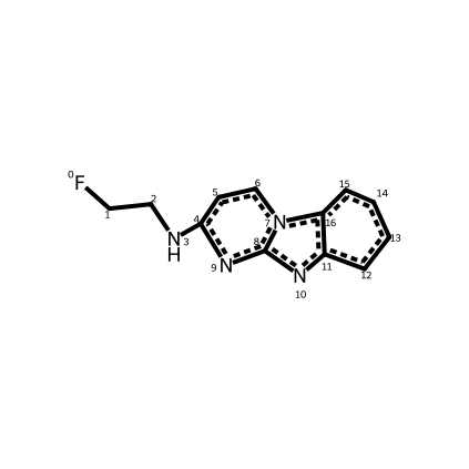 FCCNc1ccn2c(n1)nc1ccccc12